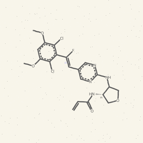 C=CC(=O)N[C@H]1COCC1Nc1ncc(/C=C(\F)c2c(Cl)c(OC)cc(OC)c2Cl)cn1